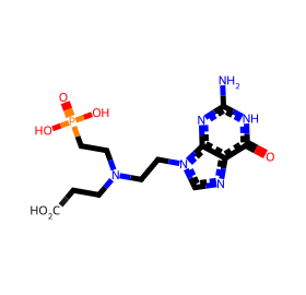 Nc1nc2c(ncn2CCN(CCC(=O)O)CCP(=O)(O)O)c(=O)[nH]1